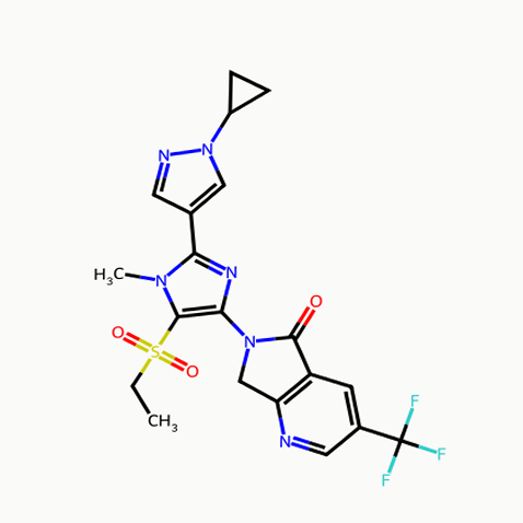 CCS(=O)(=O)c1c(N2Cc3ncc(C(F)(F)F)cc3C2=O)nc(-c2cnn(C3CC3)c2)n1C